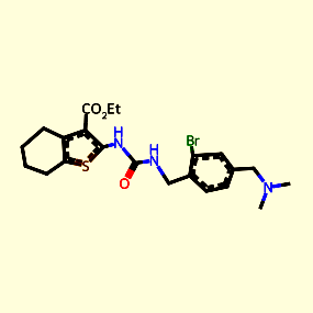 CCOC(=O)c1c(NC(=O)NCc2ccc(CN(C)C)cc2Br)sc2c1CCCC2